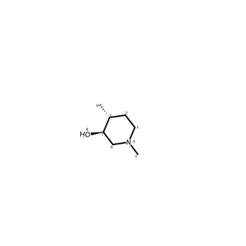 C[C@@H]1CCN(C)C[C@H]1O